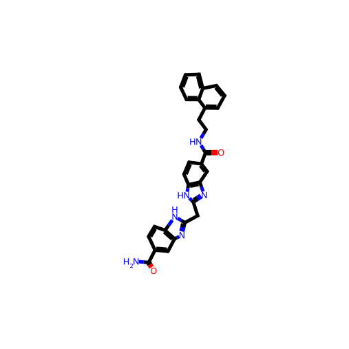 NC(=O)c1ccc2[nH]c(Cc3nc4cc(C(=O)NCCc5cccc6ccccc56)ccc4[nH]3)nc2c1